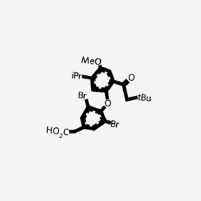 COc1cc(C(=O)CC(C)(C)C)c(Oc2c(Br)cc(CC(=O)O)cc2Br)cc1C(C)C